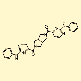 O=C(c1ccnc(Nc2ccccc2)n1)N1CC2CN(C(=O)c3ccnc(Nc4ccccc4)n3)CC2C1